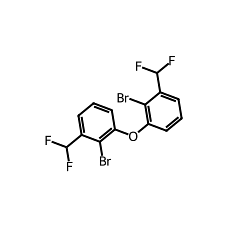 FC(F)c1cccc(Oc2cccc(C(F)F)c2Br)c1Br